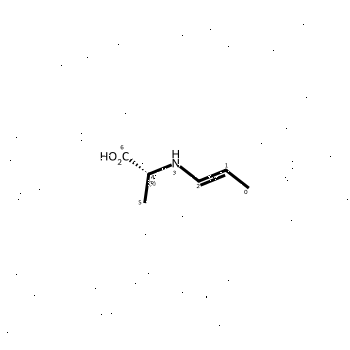 CC=CN[C@H](C)C(=O)O